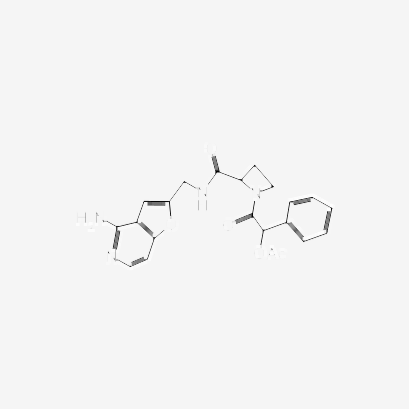 CC(=O)OC(C(=O)N1CCC1C(=O)NCc1cc2c(N)nccc2o1)c1ccccc1